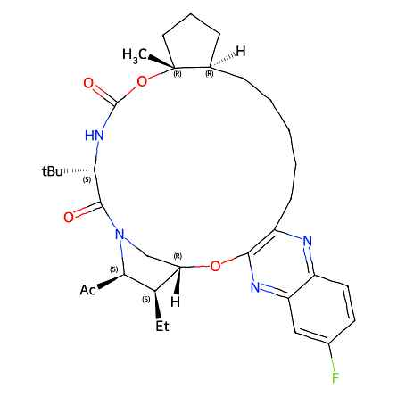 CC[C@@H]1[C@@H]2CN(C(=O)[C@H](C(C)(C)C)NC(=O)O[C@]3(C)CCC[C@H]3CCCCCc3nc4ccc(F)cc4nc3O2)[C@@H]1C(C)=O